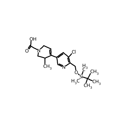 CC1CN(C(=O)O)CC=C1c1cnc(CO[Si](C)(C)C(C)(C)C)c(Cl)c1